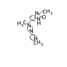 CCc1nc2ccc(C(C)N3CCN(c4ccc(C)nc4)CC3)cc2[nH]c1=O